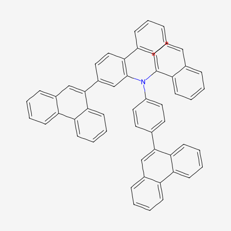 c1ccc(-c2ccc(-c3cc4ccccc4c4ccccc34)cc2N(c2ccc(-c3cc4ccccc4c4ccccc34)cc2)c2cccc3ccccc23)cc1